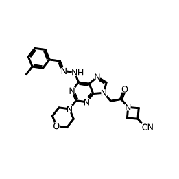 Cc1cccc(C=NNc2nc(N3CCOCC3)nc3c2ncn3CC(=O)N2CC(C#N)C2)c1